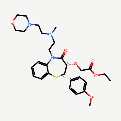 CCOC(=O)CO[C@H]1C(=O)N(CCN(C)CCN2CCOCC2)c2ccccc2S[C@H]1c1ccc(OC)cc1